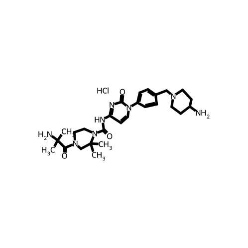 CC(C)(N)C(=O)N1CCN(C(=O)Nc2ccn(-c3ccc(CN4CCC(N)CC4)cc3)c(=O)n2)C(C)(C)C1.Cl